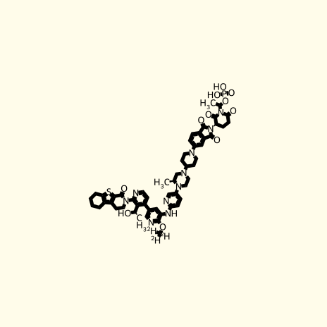 [2H]C([2H])([2H])Oc1ncc(-c2ccnc(N3CCc4c(sc5c4CCCC5)C3=O)c2[C@H](C)O)cc1Nc1ccc(N2CCN(C3CCN(c4ccc5c(c4)C(=O)N([C@H]4CCC(=O)N(C(C)OP(=O)(O)O)C4=O)C5=O)CC3)C[C@@H]2C)cn1